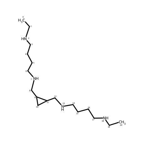 CCNCCCCNCC1CC1CNCCCCNCC